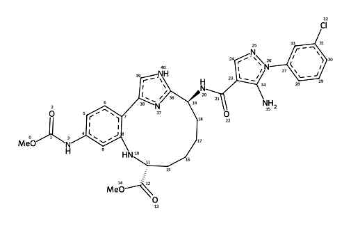 COC(=O)Nc1ccc2c(c1)N[C@@H](C(=O)OC)CCCC[C@H](NC(=O)c1cnn(-c3cccc(Cl)c3)c1N)c1nc-2c[nH]1